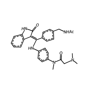 CC(=O)NCc1ccc(C(Nc2ccc(N(C)C(=O)CN(C)C)cc2)=C2C(=O)Nc3ccccc32)cc1